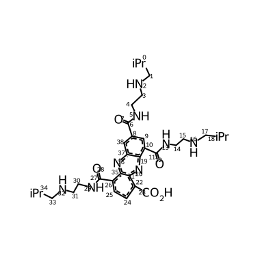 CC(C)CNCCNC(=O)c1cc(C(=O)NCCNCC(C)C)c2nc3c(C(=O)O)ccc(C(=O)NCCNCC(C)C)c3nc2c1